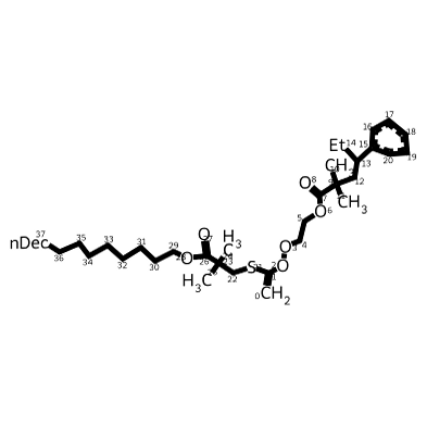 C=C(OOCCOC(=O)C(C)(C)CC(CC)c1ccccc1)SCC(C)(C)C(=O)OCCCCCCCCCCCCCCCCCC